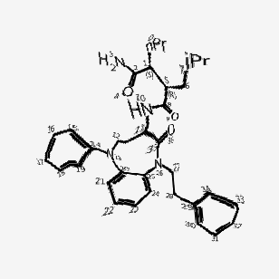 CCC[C@H](C(N)=O)[C@@H](CC(C)C)C(=O)NC1CN(c2ccccc2)c2ccccc2N(CCc2ccccc2)C1=O